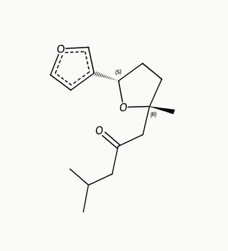 CC(C)CC(=O)C[C@@]1(C)CC[C@@H](c2ccoc2)O1